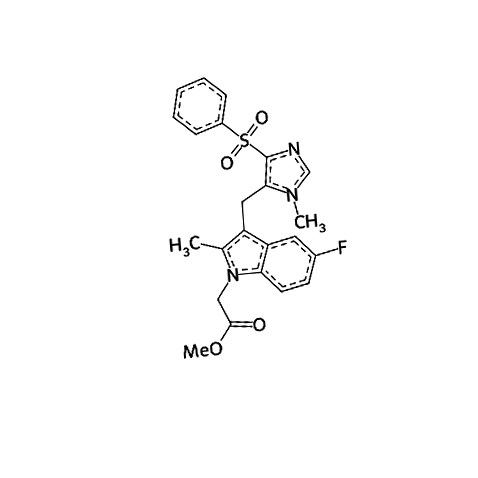 COC(=O)Cn1c(C)c(Cc2c(S(=O)(=O)c3ccccc3)ncn2C)c2cc(F)ccc21